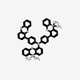 C[Si]1(C)c2ccccc2Oc2c(-c3ccc(N(c4ccc(-c5cccc6c5Sc5ccccc5S6)cc4)c4cccc5c4Sc4ccccc4[Si]5(C)C)cc3)cccc21